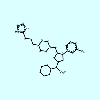 O=C(O)C(C1CCCCC1)N1CC(CN2CCC(CCCc3ncc[nH]3)CC2)C(c2cccc(F)c2)C1